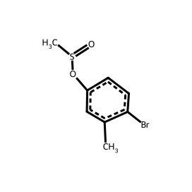 Cc1cc(OS(C)=O)ccc1Br